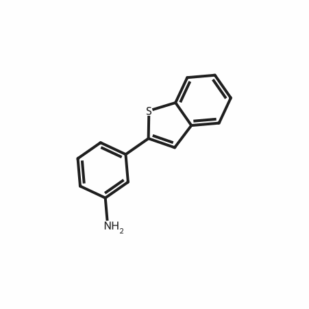 Nc1cccc(-c2cc3ccccc3s2)c1